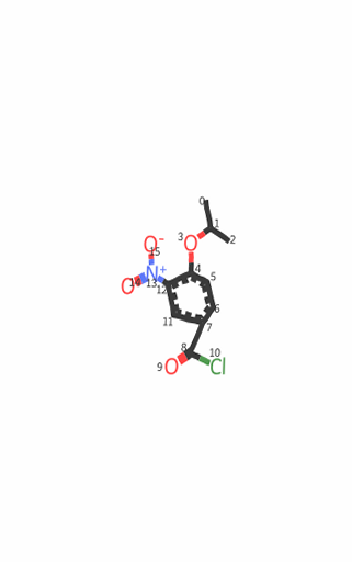 CC(C)Oc1ccc(C(=O)Cl)cc1[N+](=O)[O-]